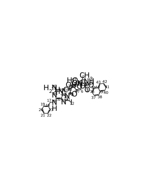 CC(NP(=O)(OC[C@H]1O[C@@H](n2c(I)nc3c(NCc4ccccc4)nc(N)nc32)[C@](C)(O)[C@@H]1O)Oc1cccc2ccccc12)C(=O)O